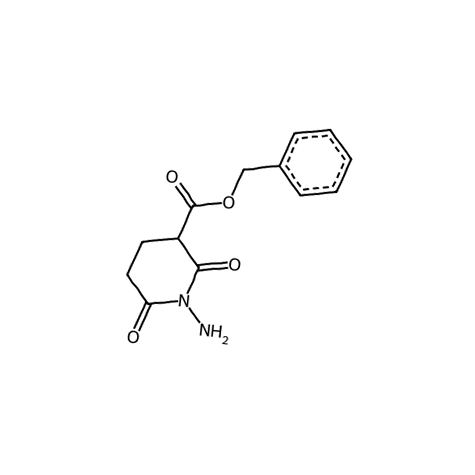 NN1C(=O)CCC(C(=O)OCc2ccccc2)C1=O